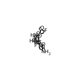 CC(C)OC(=O)[C@H](C)N[P@](=O)(OC[C@H]1S[C@@H](n2ccc(N)nc2=O)[C@@H](F)[C@@H]1O)Oc1ccc(F)c2c1CCO2